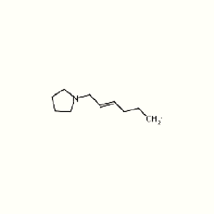 [CH2]CC/C=C/CN1CCCC1